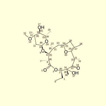 CC[C@H]1OC(=O)[C@H](C)[C@@H](O[C@H]2C[C@@](C)(OC)[C@@H](O)[C@H](C)O2)[C@H](C)C[C@@]2(C)CC(C)=C(O2)[C@H](C)C(=O)[C@]1(C)O